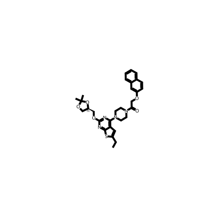 CCc1cc2c(N3CCN(C(=O)COc4ccc5ccccc5c4)CC3)nc(OC[C@H]3COC(C)(C)O3)nc2s1